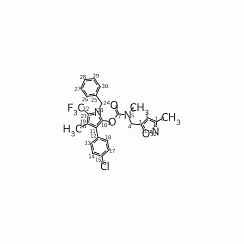 Cc1cc(CN(C)C(=O)Oc2c(-c3ccc(Cl)cc3)c(C)c(C(F)(F)F)n2Cc2ccccc2)on1